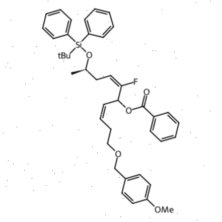 COc1ccc(COCC/C=C\C(OC(=O)c2ccccc2)/C(F)=C\C[C@@H](C)O[Si](c2ccccc2)(c2ccccc2)C(C)(C)C)cc1